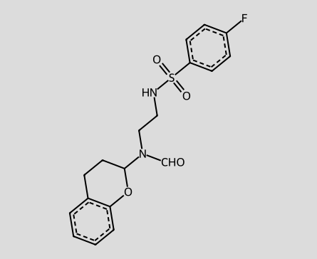 O=CN(CCNS(=O)(=O)c1ccc(F)cc1)C1CCc2ccccc2O1